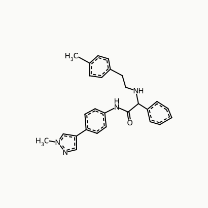 Cc1ccc(CCNC(C(=O)Nc2ccc(-c3cnn(C)c3)cc2)c2ccccc2)cc1